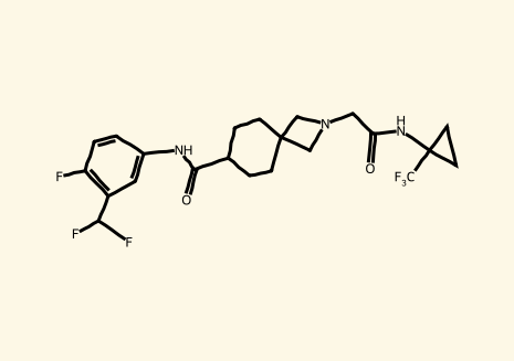 O=C(CN1CC2(CCC(C(=O)Nc3ccc(F)c(C(F)F)c3)CC2)C1)NC1(C(F)(F)F)CC1